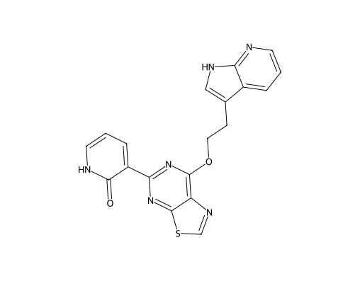 O=c1[nH]cccc1-c1nc(OCCc2c[nH]c3ncccc23)c2ncsc2n1